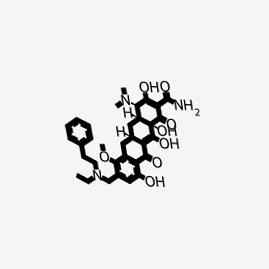 CCN(CCc1ccccc1)Cc1cc(O)c2c(c1OC)C[C@H]1C[C@H]3[C@H](N(C)C)C(O)=C(C(N)=O)C(=O)[C@@]3(O)C(O)=C1C2=O